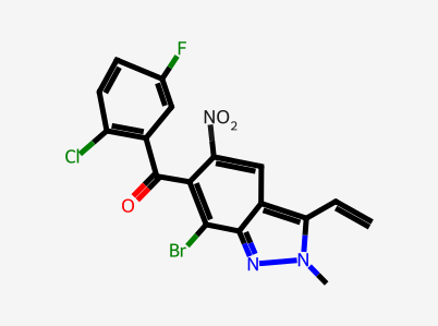 C=Cc1c2cc([N+](=O)[O-])c(C(=O)c3cc(F)ccc3Cl)c(Br)c2nn1C